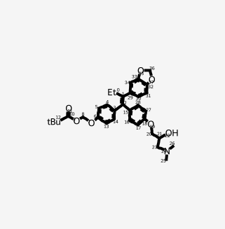 CC/C(=C(\c1ccc(OCOC(=O)C(C)(C)C)cc1)c1ccc(OCC(O)CN(C)C)cc1)c1ccc2c(c1)OCO2